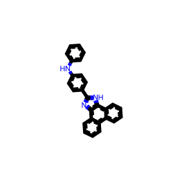 c1ccc(Nc2ccc(-c3nc4c5ccccc5c5ccccc5c4[nH]3)cc2)cc1